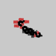 C[C@H]1CC[C@@]2(OC1)O[C@H]1C[C@H]3[C@@H]4CC[C@@H]5C[C@@H](O[C@@H]6O[C@H](CO)[C@@H](O)[C@H](O)[C@H]6O)CC[C@]5(C)[C@H]4CC[C@]3(C)[C@H]1[C@@H]2C